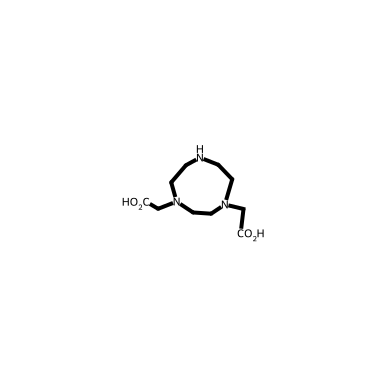 O=C(O)CN1CCNCCN(CC(=O)O)CC1